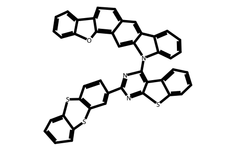 c1ccc2c(c1)Sc1ccc(-c3nc(-n4c5ccccc5c5cc6ccc7c8ccccc8oc7c6cc54)c4c(n3)sc3ccccc34)cc1S2